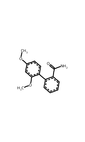 COc1ccc(-c2ccc[c]c2C(N)=O)c(OC)c1